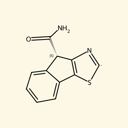 NC(=O)[C@H]1c2ccccc2-c2s[c]nc21